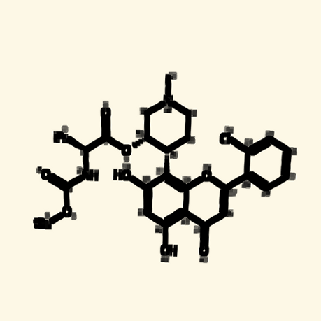 CC(C)[C@H](NC(=O)OC(C)(C)C)C(=O)O[C@@H]1CN(C)CC[C@@H]1c1c(O)cc(O)c2c(=O)cc(-c3ccccc3Cl)oc12